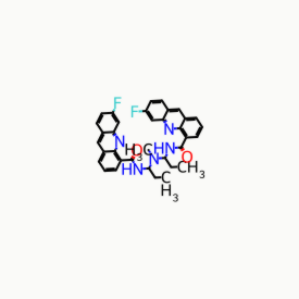 CCC(NC(=O)c1cccc2cc3ccc(F)cc3nc12)N(C)C(CC)NC(=O)c1cccc2cc3ccc(F)cc3nc12